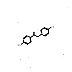 N#Cc1ccc(CNc2ccc(C#N)cc2)cc1